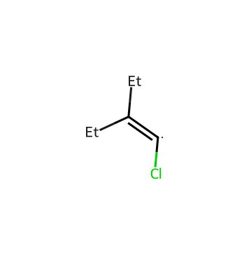 CCC(=[C]Cl)CC